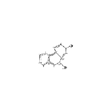 BrC1C=CC2=c3ccccc3=CC(Br)C2=C1